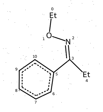 CCO/N=C(/CC)c1cc[c]cc1